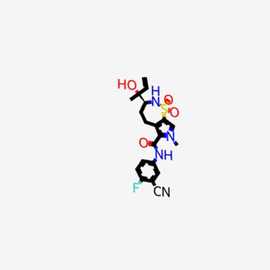 C=CC(C)(O)[C@@H]1CCc2c(cn(C)c2C(=O)Nc2ccc(F)c(C#N)c2)S(=O)(=O)N1